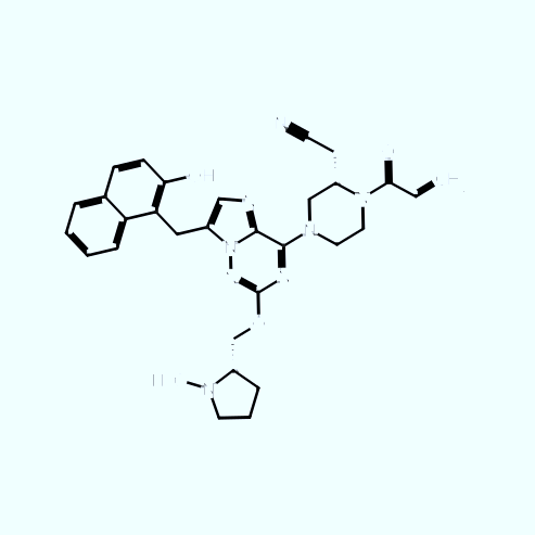 C=CC(=O)N1CCN(c2nc(OC[C@@H]3CCCN3C)nn3c(Cc4c(O)ccc5ccccc45)cnc23)C[C@@H]1CC#N